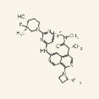 C[C@@H]1CCN1c1ncc([C@@H](C)C(=O)N(C)C)c2cc(Nc3ccnc(N4CC[C@@H](O)[C@@](C)(F)C4)n3)ncc12